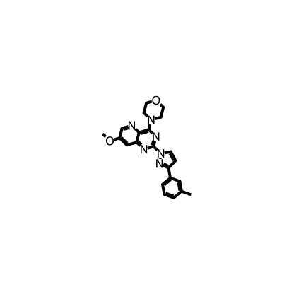 COc1cnc2c(N3CCOCC3)nc(-n3ccc(-c4cccc(C)c4)n3)nc2c1